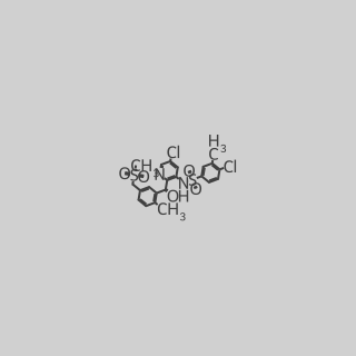 Cc1cc(S(=O)(=O)Nc2cc(Cl)cnc2C(=O)c2cc(CS(C)(=O)=O)ccc2C)ccc1Cl